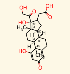 C[C@]12C(O)=CC(=O)C=C1CC[C@@H]1[C@@H]2CC[C@@]2(C)[C@H]1CC(CC(=O)O)[C@]2(O)C(=O)CO